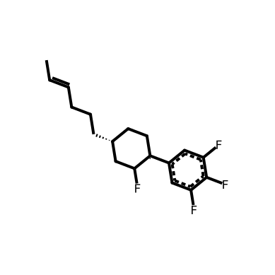 CC=CCCC[C@@H]1CC[C](c2cc(F)c(F)c(F)c2)C(F)C1